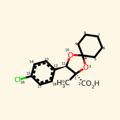 C[C@]1(C(=O)O)OC2(CCCCC2)O[C@@H]1c1ccc(Cl)cc1